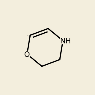 [C]1=CNCCO1